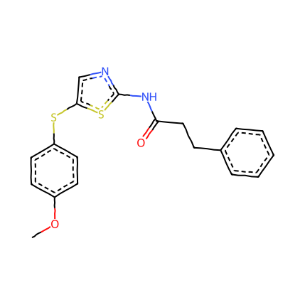 COc1ccc(Sc2cnc(NC(=O)CCc3ccccc3)s2)cc1